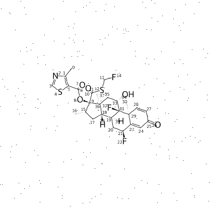 Cc1ncsc1C(=O)O[C@]1(C(=O)SCF)[C@@H](C)C[C@H]2[C@@H]3C[C@H](F)C4=CC(=O)C=C[C@]4(C)[C@@]3(F)[C@@H](O)C[C@@]21C